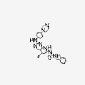 C#Cc1cc(NC(=O)NCc2ccccc2)nc2nc(Nc3ccc(N4CCN(C)CC4)cc3)ncc12